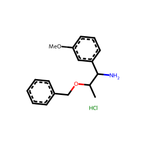 COc1cccc(C(N)C(C)OCc2ccccc2)c1.Cl